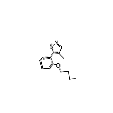 CCCCOc1ccccc1-c1sncc1C